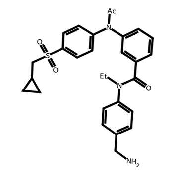 CCN(C(=O)c1cccc(N(C(C)=O)c2ccc(S(=O)(=O)CC3CC3)cc2)c1)c1ccc(CN)cc1